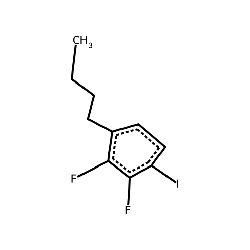 CCCCc1ccc(I)c(F)c1F